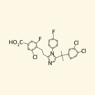 CC(C)(c1ccc(Cl)c(Cl)c1)c1cnc(CCc2c(F)cc(C(=O)O)cc2Cl)n1-c1ccc(F)cc1